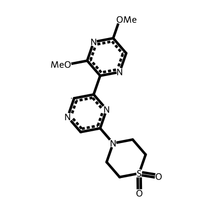 COc1cnc(-c2[c]ncc(N3CCS(=O)(=O)CC3)n2)c(OC)n1